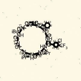 CCC(C)[C@@H]1NC(=O)[C@H](C)N(C)C(=O)C[C@@H](C)N(C)C(=O)[C@H](CC(C)C)NC(=O)C(C)(C)N(C)C(=O)[C@H](CC(C)C)NC(=O)[C@H](CCc2ccc(C(F)(F)F)c(Cl)c2)NC(=O)[C@@H](C)N(C)C(=O)[C@H](CC2CCCCC2)N(C)C(=O)[C@@H]2CCN2C(=O)CN(C)C1=O